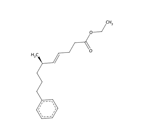 CCOC(=O)CCC=C[C@H](C)CCCc1ccccc1